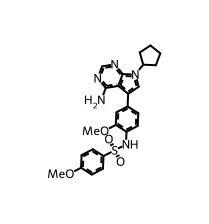 COc1ccc(S(=O)(=O)Nc2ccc(-c3cn(C4CCCC4)c4ncnc(N)c34)cc2OC)cc1